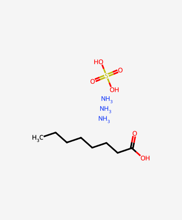 CCCCCCCC(=O)O.N.N.N.O=S(=O)(O)O